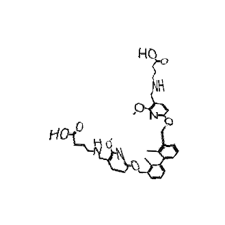 COc1nc(OCc2cccc(-c3cccc(COc4ccc(CNCCCC(=O)O)c(OC)n4)c3C)c2C)ccc1CNCCCC(=O)O